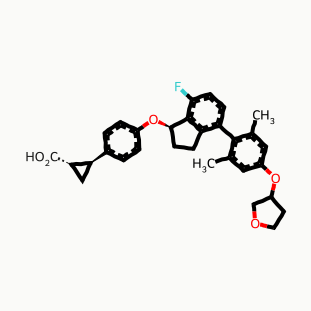 Cc1cc(OC2CCOC2)cc(C)c1-c1ccc(F)c2c1CC[C@H]2Oc1ccc([C@H]2C[C@@H]2C(=O)O)cc1